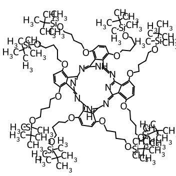 CC(C)(C)[Si](C)(C)OCCCCOc1ccc(OCCCCO[Si](C)(C)C(C)(C)C)c2c1-c1nc-2nc2[nH]c(nc3nc(nc4[nH]c(n1)c1c(OCCCCO[Si](C)(C)C(C)(C)C)ccc(OCCCCO[Si](C)(C)C(C)(C)C)c41)-c1c(OCCCCO[Si](C)(C)C(C)(C)C)ccc(OCCCCO[Si](C)(C)C(C)(C)C)c1-3)c1c(OCCCCO[Si](C)(C)C(C)(C)C)ccc(OCCCCO[Si](C)(C)C(C)(C)C)c21